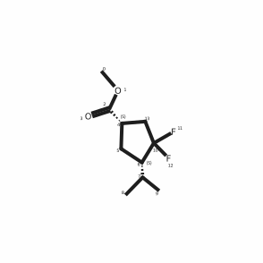 COC(=O)[C@H]1C[C@@H](C(C)C)C(F)(F)C1